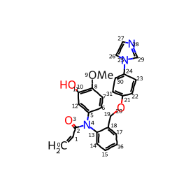 C=CC(=O)N(c1ccc(OC)c(O)c1)c1ccccc1COc1ccc(-n2ccnc2)cc1